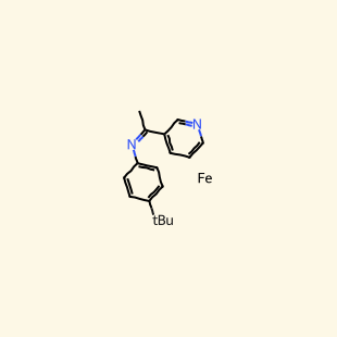 CC(=Nc1ccc(C(C)(C)C)cc1)c1cccnc1.[Fe]